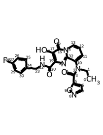 CCN(C(=O)c1ccno1)c1cccn2c(=O)c(O)c(C(=O)NCc3ccc(F)cc3)nc12